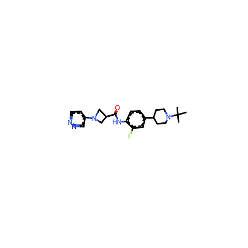 CC(C)(C)N1CCC(c2ccc(NC(=O)C3CN(c4ccnnc4)C3)c(F)c2)CC1